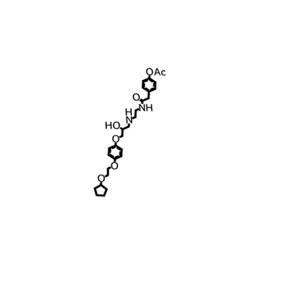 CC(=O)Oc1ccc(CC(=O)NCCNCC(O)COc2ccc(OCCOC3CCCC3)cc2)cc1